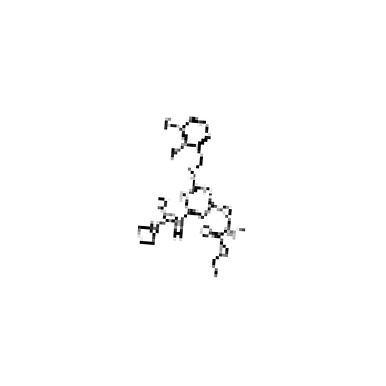 CCOC(=O)[C@@H](C)Oc1cc(N[S+]([O-])N2CCC2)nc(SCc2cccc(F)c2F)n1